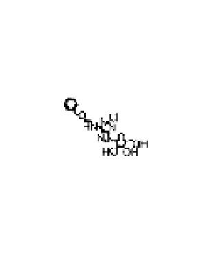 OC[C@H]1O[C@@H](n2cnc3c(NCCOCc4ccccc4)nc(Cl)nc32)[C@H](O)[C@@H]1O